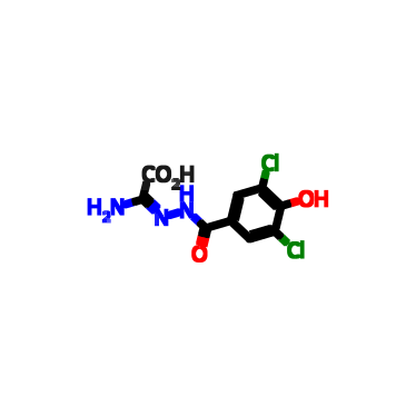 N/C(=N/NC(=O)c1cc(Cl)c(O)c(Cl)c1)C(=O)O